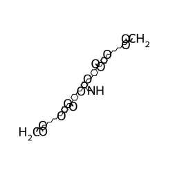 C=CC(=O)OCCCCCCOc1ccc(OC(=O)C2CCC(COc3ccc(OCC4CCC(C(=O)Oc5ccc(OCCCCCCOC(=O)C=C)cc5)CC4)c(C=N)c3)CC2)cc1